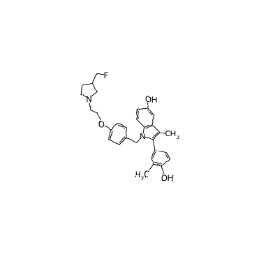 Cc1cc(-c2c(C)c3cc(O)ccc3n2Cc2ccc(OCCN3CCC(CF)C3)cc2)ccc1O